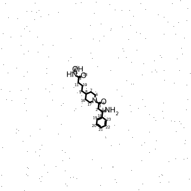 N[C@H](CC(=O)N1CCC(CCCC(=O)NO)CC1)c1ccccc1